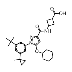 CC(C)(C)c1cc(-n2nc(C(=O)NC3CC(C(=O)O)C3)cc2OC2CCCCC2)cc(C2(C)CC2)c1